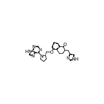 O=C1c2cccc(OC[C@H]3CCCN3c3ncnc4[nH]cnc34)c2CCC1Cc1c[nH]cn1